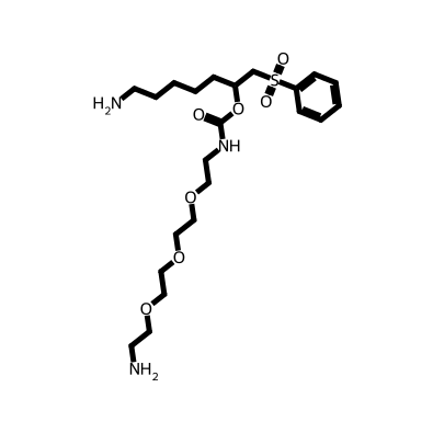 NCCCCCC(CS(=O)(=O)c1ccccc1)OC(=O)NCCOCCOCCOCCN